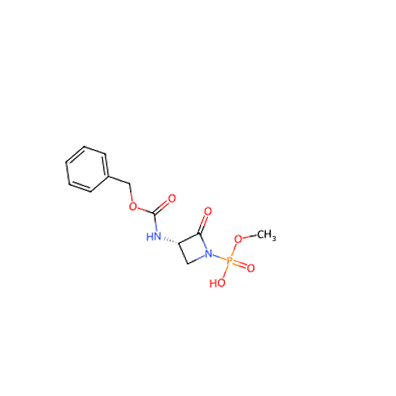 COP(=O)(O)N1C[C@H](NC(=O)OCc2ccccc2)C1=O